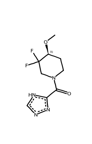 CO[C@H]1CCN(C(=O)c2nnc[nH]2)CC1(F)F